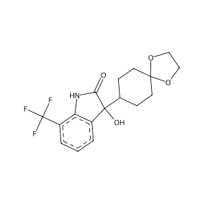 O=C1Nc2c(C(F)(F)F)cccc2C1(O)C1CCC2(CC1)OCCO2